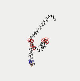 CCCCCCCCCCCCCCCCC[C@H]1OC[C@H](COC(=O)CCCCCCC[n+]2ccsc2)O1.Cc1ccc(S(=O)(=O)[O-])cc1